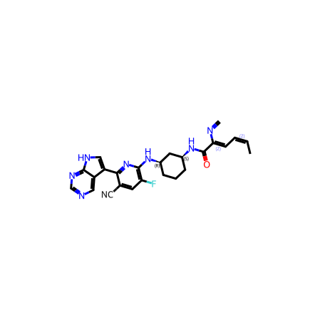 C=N/C(=C\C=C/C)C(=O)N[C@H]1CCC[C@@H](Nc2nc(-c3c[nH]c4ncncc34)c(C#N)cc2F)C1